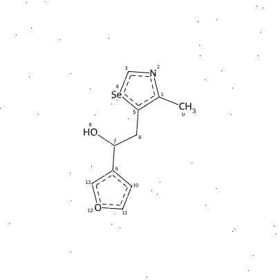 Cc1nc[se]c1CC(O)c1ccoc1